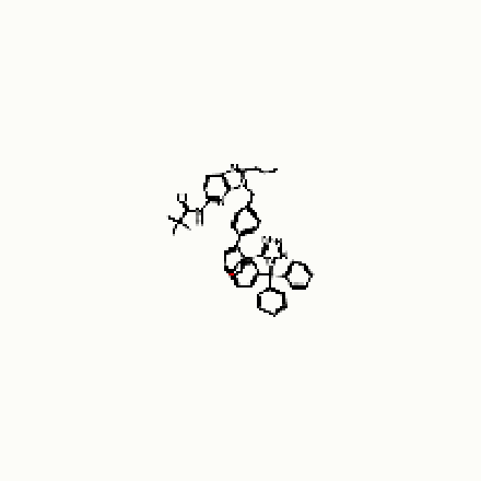 CCCc1nc2ccc(NC(=O)C(C)(C)C)nc2n1Cc1ccc(-c2ccccc2-c2nnnn2C(c2ccccc2)(c2ccccc2)c2ccccc2)cc1